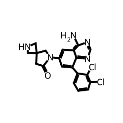 Nc1ncnc2c(-c3cccc(Cl)c3Cl)cc(N3CC4(CNC4)CC3=O)cc12